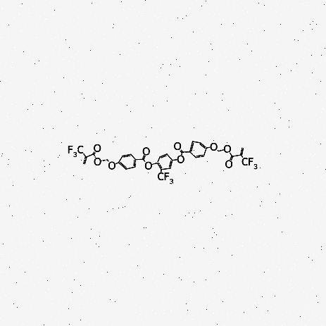 C=C(C(=O)OCOc1ccc(C(=O)Oc2ccc(OC(=O)c3ccc(OCOC(=O)C(=C)C(F)(F)F)cc3)c(C(F)(F)F)c2)cc1)C(F)(F)F